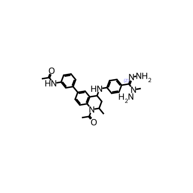 CC(=O)Nc1cccc(-c2ccc3c(c2)C(Nc2ccc(/C(=N/N)N(C)N)cc2)CC(C)N3C(C)=O)c1